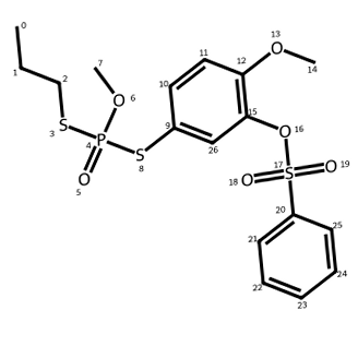 CCCSP(=O)(OC)Sc1ccc(OC)c(OS(=O)(=O)c2ccccc2)c1